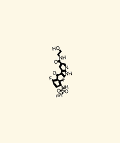 CCCS(=O)(=O)Nc1ccc(F)c(C(=O)c2c[nH]c3ncc(C(=O)NCCO)cc23)c1F